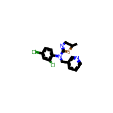 CC1CN=C(N(Cc2cccnc2)c2ccc(Cl)cc2Cl)S1